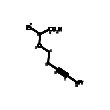 CCCC#CCCOC(CC)C(=O)O